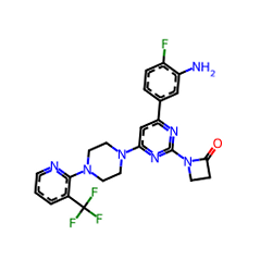 Nc1cc(-c2cc(N3CCN(c4ncccc4C(F)(F)F)CC3)nc(N3CCC3=O)n2)ccc1F